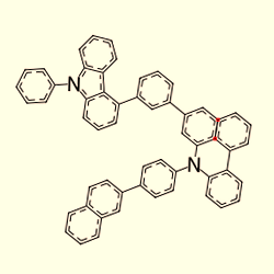 c1ccc(-c2ccccc2N(c2ccc(-c3ccc4ccccc4c3)cc2)c2cccc(-c3cccc(-c4cccc5c4c4ccccc4n5-c4ccccc4)c3)c2)cc1